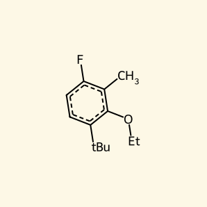 CCOc1c(C(C)(C)C)ccc(F)c1C